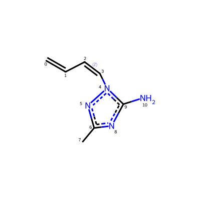 C=C/C=C\n1nc(C)nc1N